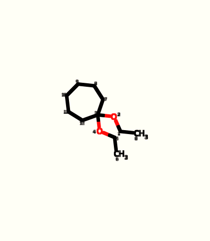 CCOC1(OCC)CCCCCC1